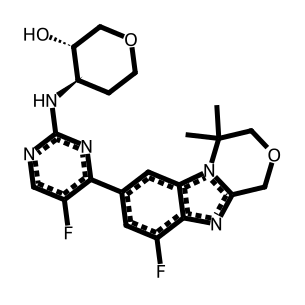 CC1(C)COCc2nc3c(F)cc(-c4nc(N[C@@H]5CCOC[C@H]5O)ncc4F)cc3n21